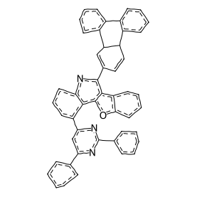 C1=CC2c3ccccc3-c3ccccc3C2C=C1c1nc2cccc(-c3cc(-c4ccccc4)nc(-c4ccccc4)n3)c2c2oc3ccccc3c12